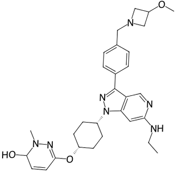 CCNc1cc2c(cn1)c(-c1ccc(CN3CC(OC)C3)cc1)nn2[C@H]1CC[C@@H](OC2=NN(C)C(O)C=C2)CC1